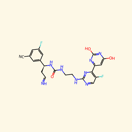 N#Cc1cc(F)cc([C@H](CC=N)NC(=O)NCCNc2ncc(F)c(-c3cc(O)nc(O)n3)n2)c1